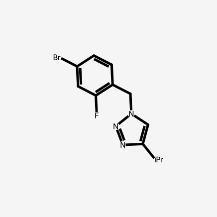 CC(C)c1cn(Cc2ccc(Br)cc2F)nn1